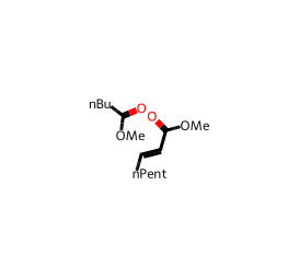 CCCCC(=O)OC.CCCCC/C=C/C(=O)OC